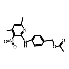 CC(=O)OCc1ccc(Nc2nc(C)cc(C)c2[N+](=O)[O-])cc1